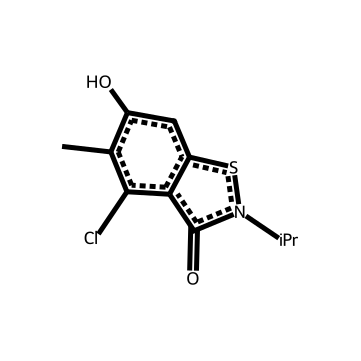 Cc1c(O)cc2sn(C(C)C)c(=O)c2c1Cl